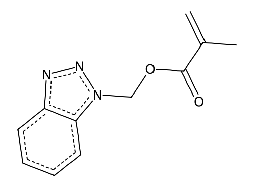 C=C(C)C(=O)OCn1nnc2ccccc21